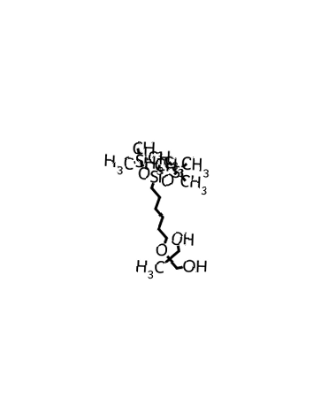 CC(CO)(CO)OCCCCCC[Si](C)(O[Si](C)(C)C)O[Si](C)(C)C